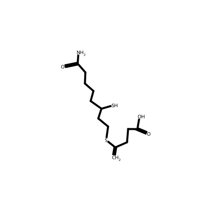 C=C(CCC(=O)O)SCCC(S)CCCCC(N)=O